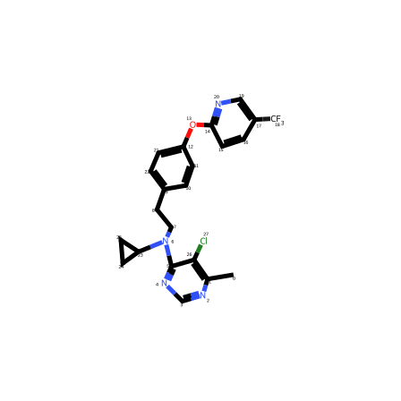 Cc1ncnc(N(CCc2ccc(Oc3ccc(C(F)(F)F)cn3)cc2)C2CC2)c1Cl